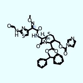 CO/N=C(/C(=O)NC1C(=O)N2C(C(=O)OC(c3ccccc3)c3ccccc3)=C(COC(=O)n3ccnc3)CS[C@H]12)c1csc(NC=O)n1